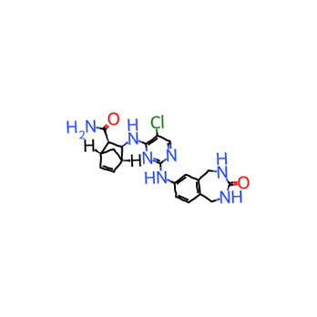 NC(=O)[C@H]1[C@@H](Nc2nc(Nc3ccc4c(c3)CNC(=O)NC4)ncc2Cl)[C@@H]2C=C[C@H]1C2